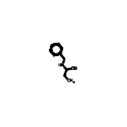 CCC(O)NCc1ccccc1